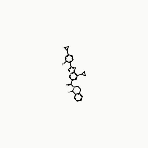 C[C@@H]1c2ccccc2CCN1C(=O)c1cc(C2CC2)c2nc(-c3ccc(C4CC4)cc3F)cn2c1